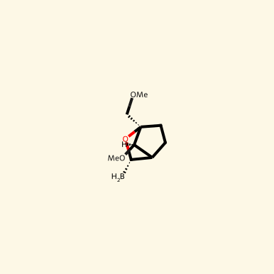 B[C@@H]1O[C@@]2(COC)CCC1[C@H]2OC